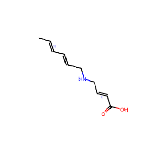 C/C=C/C=CCNC/C=C/C(=O)O